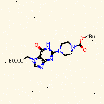 CCOC(=O)Cn1cnc2nc(N3CCN(C(=O)OC(C)(C)C)CC3)[nH]c(=O)c21